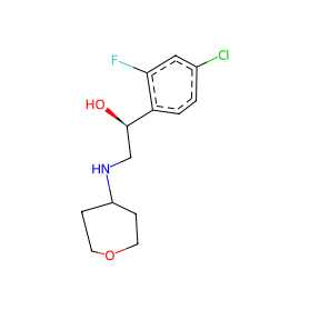 O[C@H](CNC1CCOCC1)c1ccc(Cl)cc1F